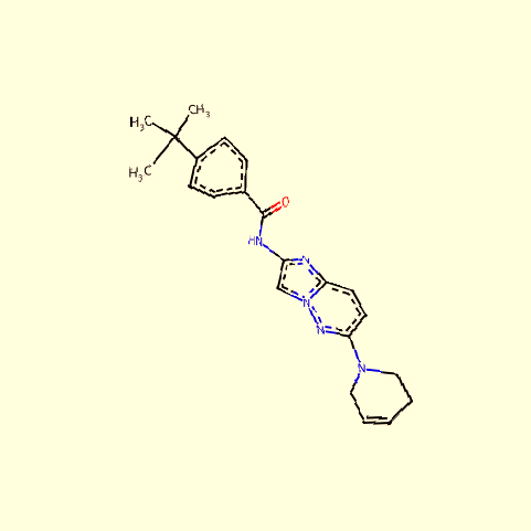 CC(C)(C)c1ccc(C(=O)Nc2cn3nc(N4CC=CCC4)ccc3n2)cc1